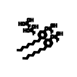 CCCCCCCCc1ccc(OB(O)F)cc1.CCCCCCCCc1ccc(OB(O)F)cc1.OB(O)F.OB(O)F